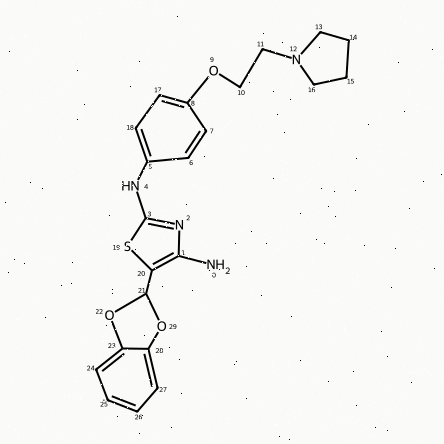 Nc1nc(Nc2ccc(OCCN3CCCC3)cc2)sc1C1Oc2c[c]ccc2O1